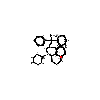 PC(c1ccccc1)(c1ccccc1)N(CP(C1CCCCC1)C1CCCCC1)c1ccccc1